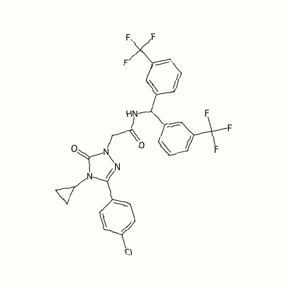 O=C(Cn1nc(-c2ccc(Cl)cc2)n(C2CC2)c1=O)NC(c1cccc(C(F)(F)F)c1)c1cccc(C(F)(F)F)c1